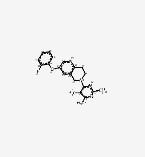 Cc1nc(C)c(C)c(N2CCc3ncc(Oc4ccccc4F)cc3C2)n1